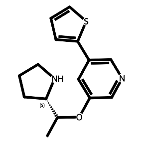 CC(Oc1cncc(-c2cccs2)c1)[C@@H]1CCCN1